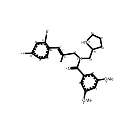 COc1cc(OC)cc(C(=O)N(C/C(C)=C/c2ccc(F)cc2F)CC2CCCN2)c1